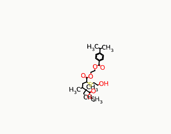 CCC(C)(C(=O)OC)C(C)CC(SCCO)C(=O)OCCOC(=O)c1ccc(C(C)C)cc1